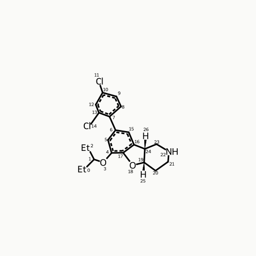 CCC(CC)Oc1cc(-c2ccc(Cl)cc2Cl)cc2c1O[C@H]1CCNC[C@@H]21